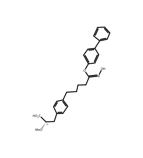 CO[C@@H](Cc1ccc(CCCCC(=NO)Oc2ccc(-c3ccccc3)cc2)cc1)C(=O)O